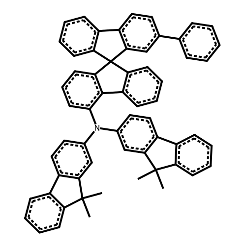 CC1(C)c2ccccc2-c2ccc(N(c3ccc4c(c3)C(C)(C)c3ccccc3-4)c3cccc4c3-c3ccccc3C43c4ccccc4-c4ccc(-c5ccccc5)cc43)cc21